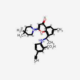 C#Cc1ccc(N[C@H](C)c2cc(C)cc3c(=O)cc(N4CCC(C)(C)CC4)oc23)c(C(=O)O)c1